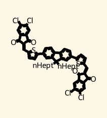 CCCCCCCC1(CCCCCCC)c2cc(-c3ccc(C=C4C(=O)c5cc(Cl)c(Cl)cc5C4=O)s3)ccc2-c2ccc(-c3ccc(C=C4C(=O)c5cc(Cl)c(Cl)cc5C4=O)s3)cc21